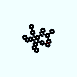 c1ccc(-c2ccc(N3c4cc5c(ccc6ccccc65)cc4B4c5cc6ccc7ccccc7c6cc5N(c5ccc(-c6ccccc6)cc5)c5cc(-c6nc(-c7cc(-c8ccccc8)cc(-c8ccccc8)c7)c7ccccc7n6)cc3c54)cc2)cc1